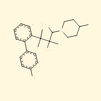 CC1CCN(C(O)C(C)(O)C(C)(C)c2ccccc2-c2ccc(Cl)cc2)CC1